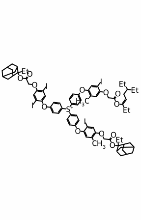 CC/C(=C/CC(CC)CC)OC(=O)COc1cc(C)c(Oc2ccc([S+](c3ccc(Oc4cc(C)c(OCC(=O)OC5(CC)C6CC7CC(C6)CC5C7)cc4I)cc3)c3ccc(Oc4cc(I)c(OCC(=O)OC5(CC)C6CC7CC(C6)CC5C7)cc4I)cc3)cc2)cc1I